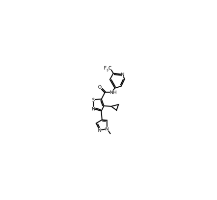 Cn1cc(-c2nsc(C(=O)Nc3ccnc(C(F)(F)F)c3)c2C2CC2)cn1